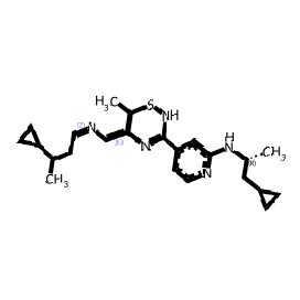 CC1SNC(c2ccnc(N[C@H](C)CC3CC3)c2)=N/C1=C/N=C\CC(C)C1CC1